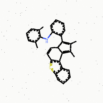 CC1=C(c2ccccc2Nc2c(C)cccc2C)C2C=Cc3sc4ccccc4c3C2=C1C